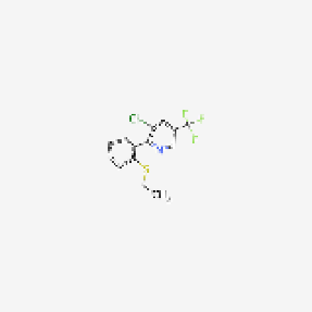 CCSc1ccccc1-c1ncc(C(F)(F)F)cc1Cl